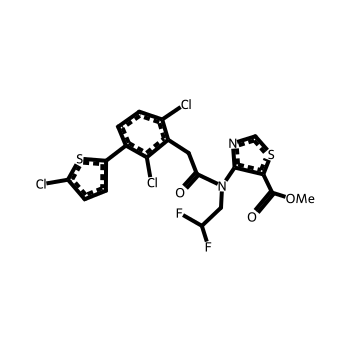 COC(=O)c1scnc1N(CC(F)F)C(=O)Cc1c(Cl)ccc(-c2ccc(Cl)s2)c1Cl